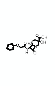 O=C(COc1ccccc1)NC1C(=O)N2CC(O)(C(=O)O)CS[C@H]12